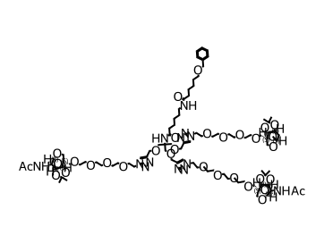 CC(=O)N[C@H]1[C@@H]2OC[C@](COCCOCCOCCOCCn3cc(COCC(COCc4cn(CCOCCOCCOCCOC[C@@]56CO[C@@H](O5)[C@H](NC(C)=O)[C@H]5OC(C)(C)O[C@H]56)nn4)(COCc4cn(CCOCCOCCOCCOC[C@]56CO[C@H](C[C@H]7OC(C)(C)O[C@H]75)O6)nn4)NC(=O)CCCCCNC(=O)CCCCCOCc4ccccc4)nn3)(O2)[C@@H]2OC(C)(C)O[C@H]12